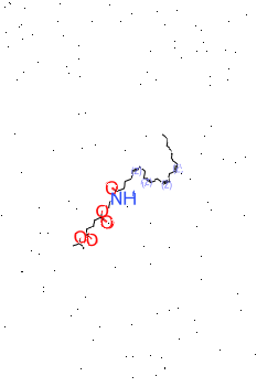 CCCCC/C=C\C/C=C\C/C=C\C/C=C\CCCC(=O)NCCOC(=O)CCCC(=O)OC(C)C